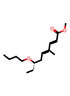 CCCCO[C@@H](CC)C/C=C(C)/C=C/C(=O)OC